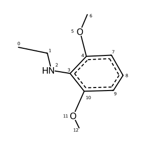 CCNc1c(OC)cccc1OC